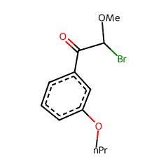 CCCOc1cccc(C(=O)C(Br)OC)c1